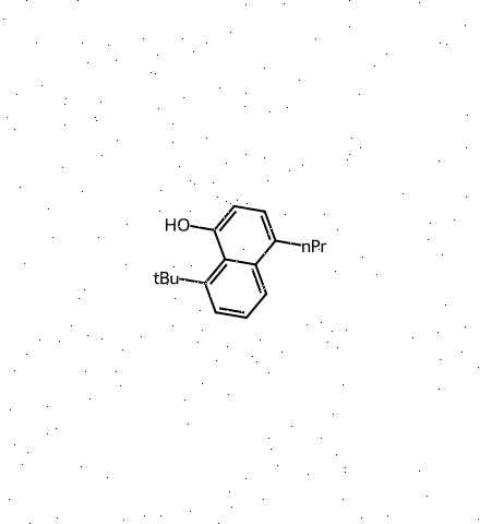 CCCc1ccc(O)c2c(C(C)(C)C)cccc12